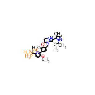 COc1ccc(C(P)(P)P)nc1-c1ccc(CN2C(=O)CCn3nc(-c4c(C)cnn4C(C)C)cc32)cc1C